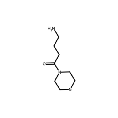 NCCCC(=O)N1CC[N]CC1